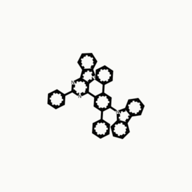 c1ccc(-c2nc(-c3cc(-c4ccccc4)c(-n4c5ccccc5c5ccccc54)cc3-c3ccccc3)c3sc4ccccc4c3n2)cc1